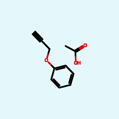 C#CCOc1ccccc1.CC(=O)O